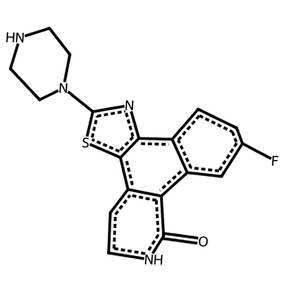 O=c1[nH]ccc2c3sc(N4CCNCC4)nc3c3ccc(F)cc3c12